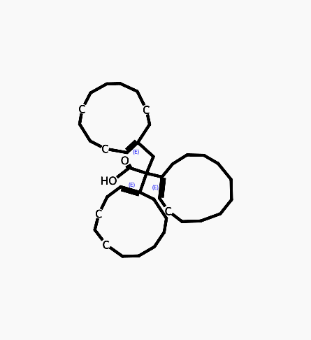 O=C(O)C(C/C1=C/CCCCCCCCCC1)(/C1=C/CCCCCCCCCC1)/C1=C/CCCCCCCCCC1